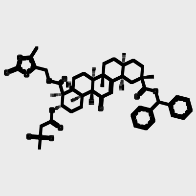 Cc1oc(=O)oc1COC(=O)[C@]1(C)[C@@H](OC(=O)CS(C)(=O)=O)CC[C@@]2(C)[C@H]1CC[C@]1(C)[C@@H]2C(=O)C=C2[C@@H]3C[C@@](C)(C(=O)OC(c4ccccc4)c4ccccc4)CC[C@]3(C)CC[C@]21C